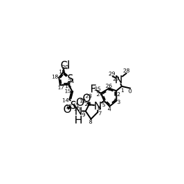 CC(c1ccc(N2CCC(NS(=O)(=O)C=Cc3ccc(Cl)s3)C2=O)c(F)c1)N(C)C